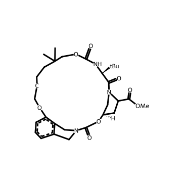 COC(=O)C1C[C@@H]2CN1C(=O)[C@H](C(C)(C)C)NC(=O)OCC(C)(C)CCCCOc1cccc3c1CN(C3)C(=O)O2